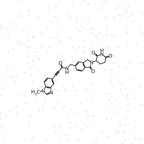 Cn1cnc2cc(C#CC(=O)NCc3ccc4c(c3)CN(C3CCC(=O)NC3=O)C4=O)ccc21